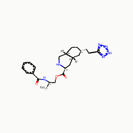 CCOC(=O)[C@H](COC(=O)[C@@H]1C[C@H]2C[C@@H](CCc3nn[nH]n3)CC[C@H]2CN1)NC(=O)c1ccccc1